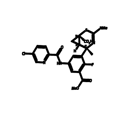 CNC1=N[C@](C)(c2cc(NC(=O)c3ccc(Cl)cn3)cc(C(=O)OC)c2F)[C@@H]2C[C@]2(C(=O)O)S1